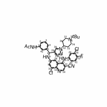 CC(=O)Nc1cccc(C(Nc2cc(Cl)c3ncc(C#N)c(Nc4ccc(F)c(Cl)c4)c3c2)c2cn(C3CCN(C(C)(C)C)CC3)nn2)c1